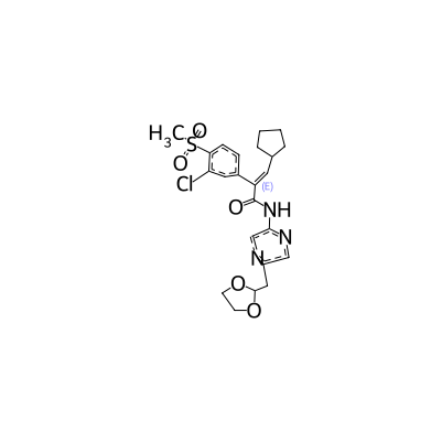 CS(=O)(=O)c1ccc(/C(=C\C2CCCC2)C(=O)Nc2cnc(CC3OCCO3)cn2)cc1Cl